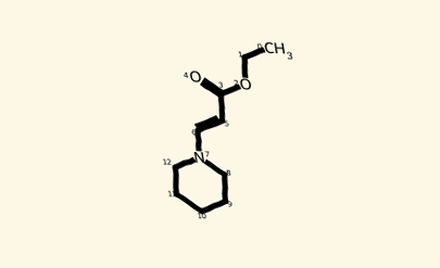 CCOC(=O)/C=C/N1CCCCC1